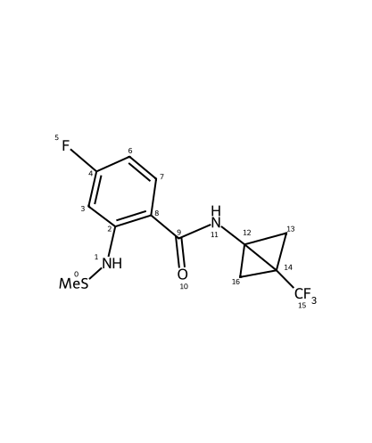 CSNc1cc(F)ccc1C(=O)NC12CC1(C(F)(F)F)C2